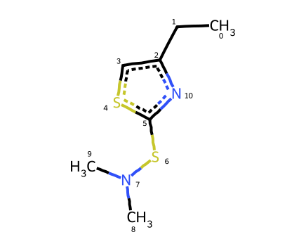 CCc1csc(SN(C)C)n1